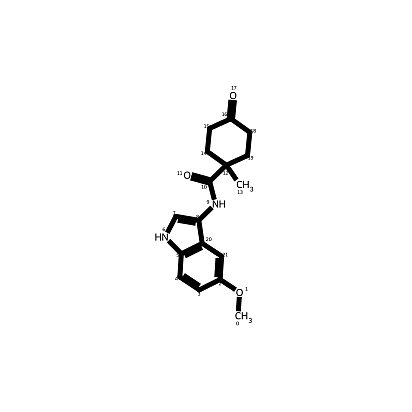 COc1ccc2[nH]cc(NC(=O)C3(C)CCC(=O)CC3)c2c1